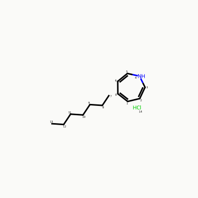 C1=CC=CNC=C1.CCCCCCC.Cl